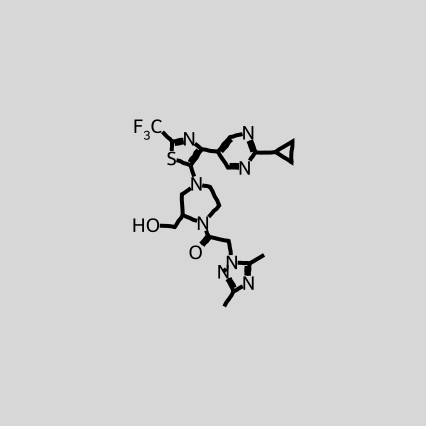 Cc1nc(C)n(CC(=O)N2CCN(c3sc(C(F)(F)F)nc3-c3cnc(C4CC4)nc3)CC2CO)n1